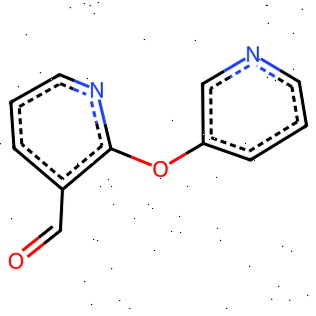 O=Cc1cccnc1Oc1cccnc1